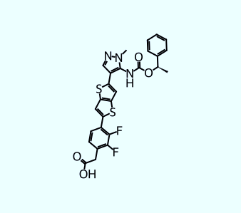 C[C@@H](OC(=O)Nc1c(-c2cc3sc(-c4ccc(CC(=O)O)c(F)c4F)cc3s2)cnn1C)c1ccccc1